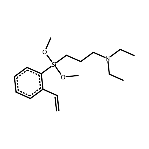 C=Cc1ccccc1[Si](CCCN(CC)CC)(OC)OC